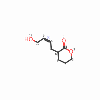 O=C1OCCCC1C/C=C\CO